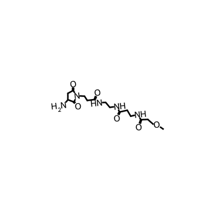 COCCC(=O)NCCC(=O)NCCNC(=O)CCN1C(=O)CC(N)C1=O